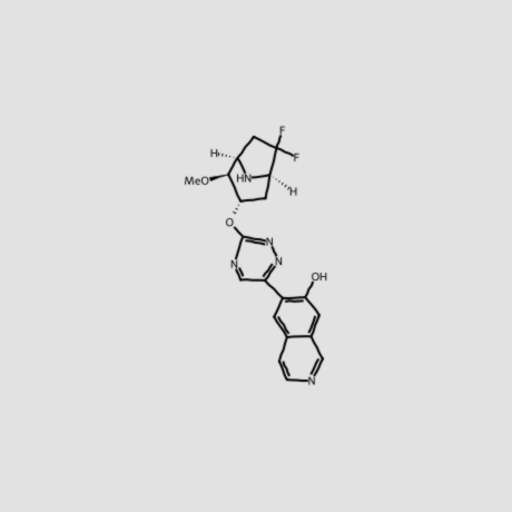 CO[C@@H]1[C@@H](Oc2ncc(-c3cc4ccncc4cc3O)nn2)C[C@H]2N[C@@H]1CC2(F)F